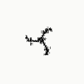 CC(CN1CC1C)OC(=O)NCCCCCCN1C(=O)N(CCCCCCNC(=O)OC(C)CN2CC2C)C(O)N(CCCCCCNC(=O)OC(C)CN2CC2C)C1=O